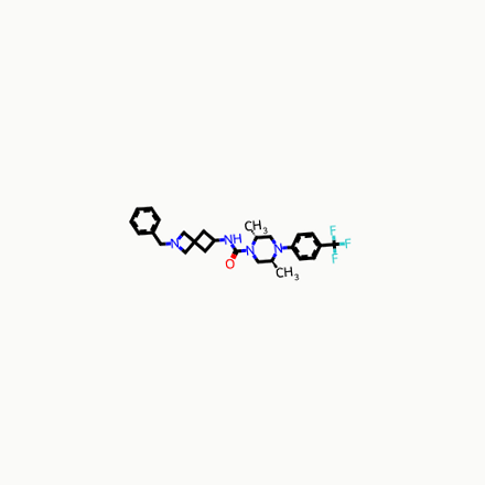 C[C@@H]1CN(c2ccc(C(F)(F)F)cc2)[C@@H](C)CN1C(=O)NC1CC2(C1)CN(Cc1ccccc1)C2